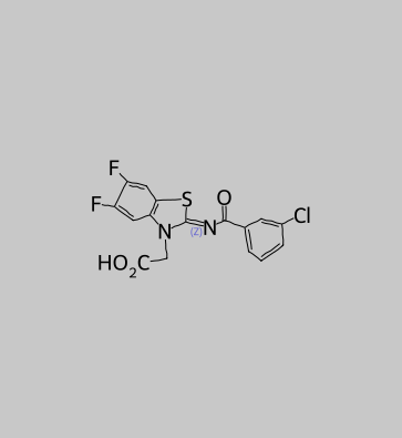 O=C(O)Cn1/c(=N/C(=O)c2cccc(Cl)c2)sc2cc(F)c(F)cc21